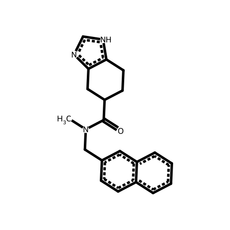 CN(Cc1ccc2ccccc2c1)C(=O)C1CCc2[nH]cnc2C1